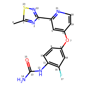 Cc1nc(-c2cc(Oc3ccc(NC(N)=O)c(F)c3)ccn2)ns1